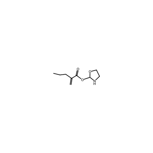 C=C(CCC)C(=O)OC1NCCO1